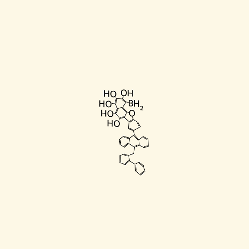 Bc1c(O)c(O)c(O)c2c(O)c(O)c3c4cc(-c5c6ccccc6c(Cc6ccccc6-c6ccccc6)c6ccccc56)ccc4oc3c12